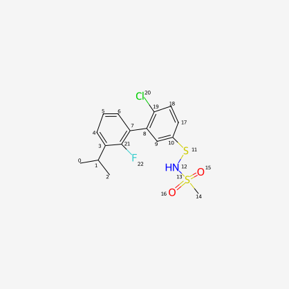 CC(C)c1cccc(-c2cc(SNS(C)(=O)=O)ccc2Cl)c1F